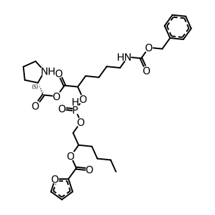 CCCCC(CO[PH](=O)OC(CCCCNC(=O)OCc1ccccc1)C(=O)OC(=O)[C@@H]1CCCN1)OC(=O)c1ccco1